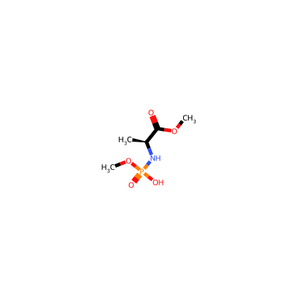 COC(=O)[C@H](C)NP(=O)(O)OC